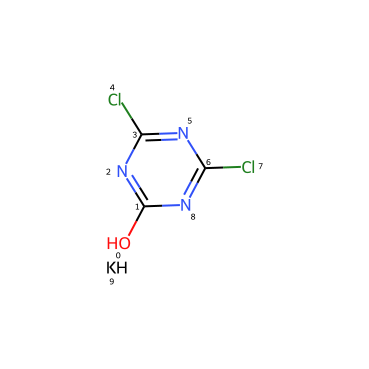 Oc1nc(Cl)nc(Cl)n1.[KH]